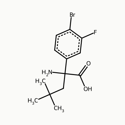 CC(C)(C)CC(N)(C(=O)O)c1ccc(Br)c(F)c1